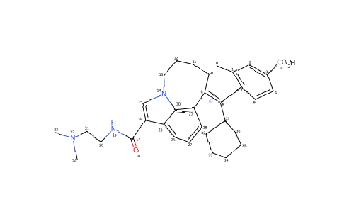 Cc1cc(C(=O)O)ccc1/C(=C1\CCCCn2cc(C(=O)NCCN(C)C)c3cccc1c32)C1CCCCC1